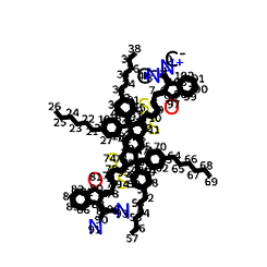 [C-]#[N+]C([N+]#[C-])=C1/C(=C/c2cc3sc4c(c3s2)C(c2ccc(CCCCCC)cc2)(c2ccc(CCCCCC)cc2)c2cc3c(cc2-4)C(c2ccc(CCCCCC)cc2)(c2ccc(CCCCCC)cc2)c2c-3sc3cc(/C=C4\C(=O)c5ccccc5C4=C(C#N)C#N)sc23)C(=O)c2ccccc21